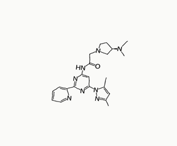 Cc1cc(C)n(-c2cc(NC(=O)CN3CC[C@@H](N(C)C)C3)nc(-c3ccccn3)n2)n1